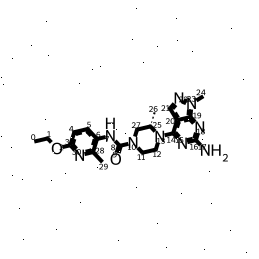 CCOc1ccc(NC(=O)N2CCN(c3nc(N)nc4c3cnn4C)[C@@H](C)C2)c(C)n1